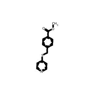 COC(=O)c1ccc(CSc2ccncc2)cc1